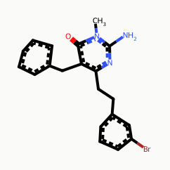 Cn1c(N)nc(CCc2cccc(Br)c2)c(Cc2ccccc2)c1=O